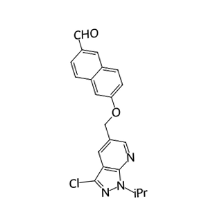 CC(C)n1nc(Cl)c2cc(COc3ccc4cc(C=O)ccc4c3)cnc21